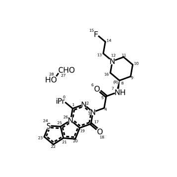 CC(C)c1nn(CC(=O)N[C@@H]2CCCN(CCF)C2)c(=O)c2cc3ccsc3n12.O=CO